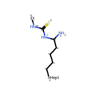 CCCCCCCCCCCC(N)NC(=S)NCC